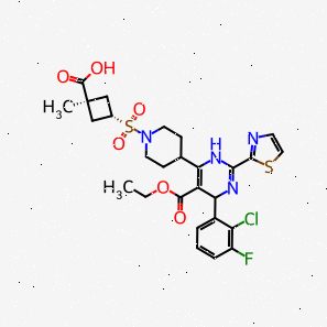 CCOC(=O)C1=C(C2CCN(S(=O)(=O)[C@H]3C[C@](C)(C(=O)O)C3)CC2)NC(c2nccs2)=NC1c1cccc(F)c1Cl